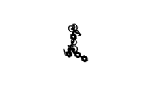 CCOC(C)(Cc1ccc(OCCCN(Cc2ccccc2)C(=O)Nc2ccc(-c3ccccc3)cc2)cc1)C(=O)OC